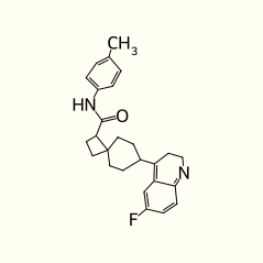 Cc1ccc(NC(=O)C2CCC23CCC(C2=c4cc(F)ccc4=NCC2)CC3)cc1